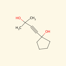 CC(C)(O)C#CC1(O)CCCC1